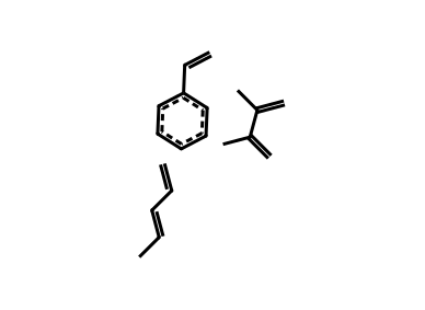 C=C(C)C(=C)C.C=CC=CC.C=Cc1ccccc1